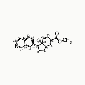 COC(=O)C1=CC2CCC(c3ccc4ccncc4c3)C2(C)C=C1